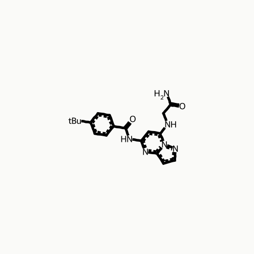 CC(C)(C)c1ccc(C(=O)Nc2cc(NCC(N)=O)n3nccc3n2)cc1